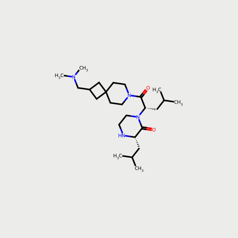 CC(C)C[C@@H]1NCCN([C@@H](CC(C)C)C(=O)N2CCC3(CC2)CC(CN(C)C)C3)C1=O